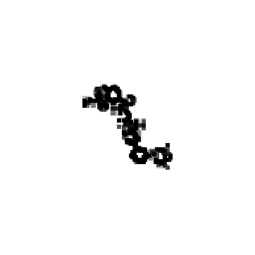 Cc1ccc(C(=O)NCC(=O)Nc2nc(-c3cccc(N4C[C@@H](C)O[C@@H](C)C4)c3)cs2)cc1S(=O)(=O)C(C)C